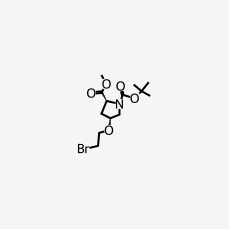 COC(=O)[C@@H]1C[C@H](OCCBr)CN1C(=O)OC(C)(C)C